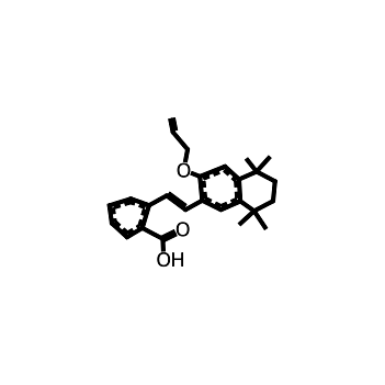 C=CCOc1cc2c(cc1C=Cc1ccccc1C(=O)O)C(C)(C)CCC2(C)C